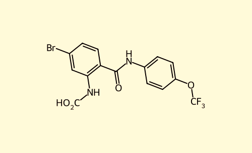 O=C(O)Nc1cc(Br)ccc1C(=O)Nc1ccc(OC(F)(F)F)cc1